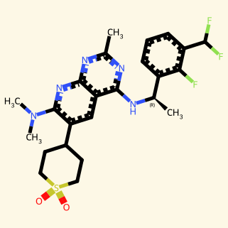 Cc1nc(N[C@H](C)c2cccc(C(F)F)c2F)c2cc(C3CCS(=O)(=O)CC3)c(N(C)C)nc2n1